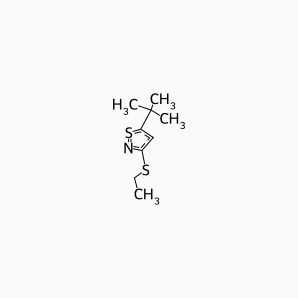 CCSc1cc(C(C)(C)C)sn1